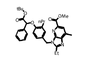 CCCc1cc(Cn2c(CC)nc3c(C)cc(C(=O)OC)nc32)ccc1OC(C(=O)OC(C)(C)C)c1ccccc1